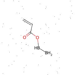 BBOC(=O)C=C